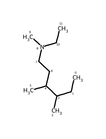 CCC(C)C(C)CCN(C)CC